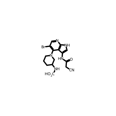 N#CCC(=O)Nc1c[nH]c2ncc(Br)c(N3CCCC(NC(=O)O)C3)c12